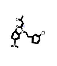 CC(=O)/C=C1\Sc2ccc(N(C)C)cc2N1CCc1cccc(Cl)c1